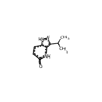 CC(C)c1n[nH]c2ccc(=O)[nH]c12